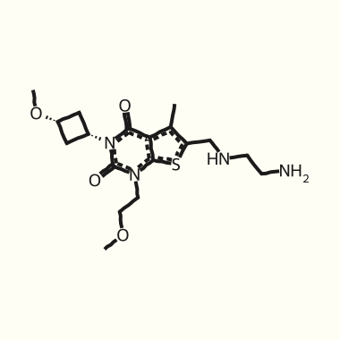 COCCn1c(=O)n([C@H]2C[C@@H](OC)C2)c(=O)c2c(C)c(CNCCN)sc21